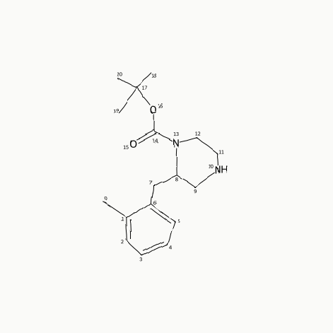 Cc1ccccc1CC1CNCCN1C(=O)OC(C)(C)C